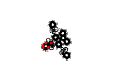 c1ccc2c(c1)OB(c1cc(B3Oc4ccccc4O3)cc(C3(c4cc(B5Oc6ccccc6O5)cc(B5Oc6ccccc6O5)c4)c4ccccc4-c4ccccc43)c1)O2